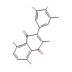 Cc1ccc(C)c2c1C(=O)C(O)=C(c1cc(C(C)(C)C)c(O)c(C(C)(C)C)c1)C2=O